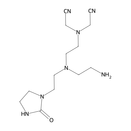 N#CCN(CC#N)CCN(CCN)CCN1CCNC1=O